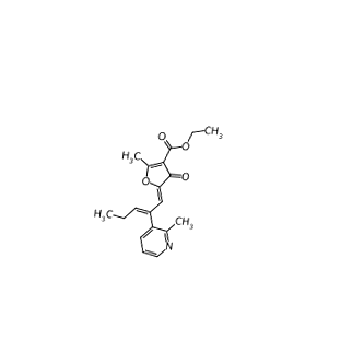 CC/C=C(/C=C1\OC(C)=C(C(=O)OCC)C1=O)c1cccnc1C